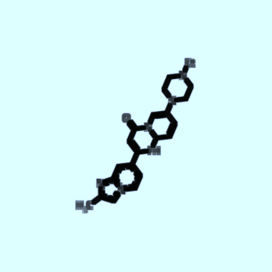 CCN1CCN(C2=CN3C(=O)C=C(c4ccn5cc(C)nc5c4)PC3C=C2)CC1